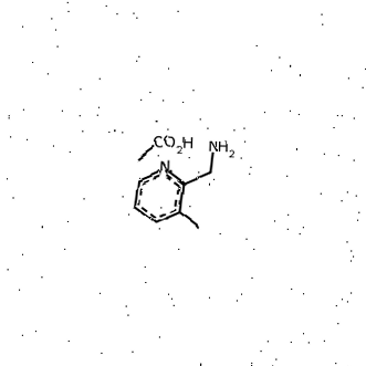 CC(=O)O.Cc1cccnc1CN